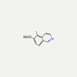 COc1ccc2cnccc2c1C